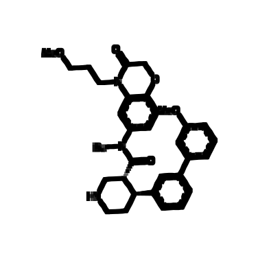 CCC(C)N(C(=O)[C@H]1CNCC[C@@H]1c1cccc(-c2cccc(OC)c2)c1)c1ccc2c(c1)N(CCCOC)C(=O)CO2